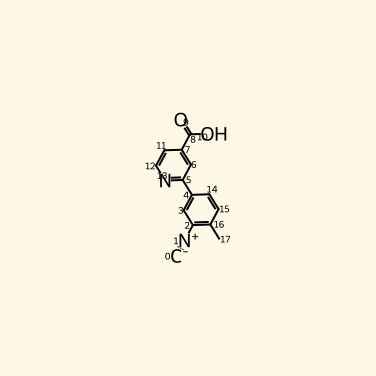 [C-]#[N+]c1cc(-c2cc(C(=O)O)ccn2)ccc1C